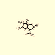 Cc1nc2c(C(=O)O)cc(Br)cc2c(Cl)c1C